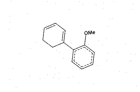 COc1ccccc1C1=CC=CCC1